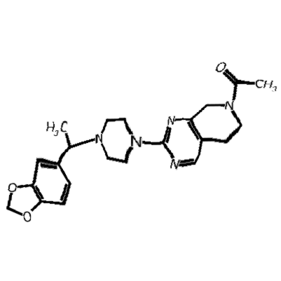 CC(=O)N1CCc2cnc(N3CCN(C(C)c4ccc5c(c4)OCO5)CC3)nc2C1